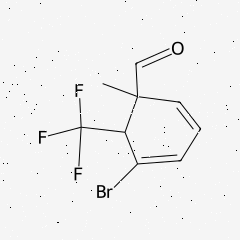 CC1(C=O)C=CC=C(Br)C1C(F)(F)F